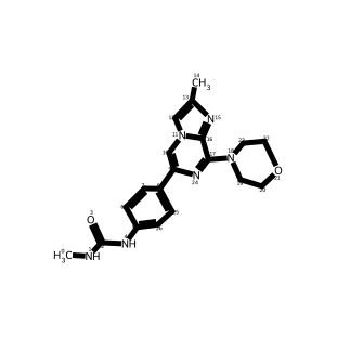 CNC(=O)Nc1ccc(-c2cn3cc(C)nc3c(N3CCOCC3)n2)cc1